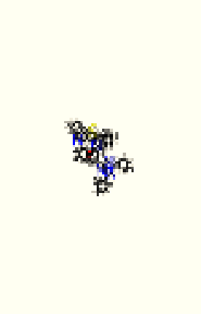 c1ccc(-c2nc(-c3ccccc3)nc(-c3cccc(-n4c5ccccc5c5sc6c7ccccc7nc(-c7ccccc7)c6c54)c3)n2)cc1